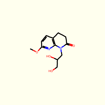 COc1ccc2c(n1)N(CC(O)CO)C(=O)CC2